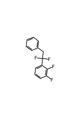 Fc1cccc(C(F)(F)Cc2ccccc2)c1F